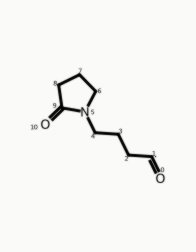 O=[C]CCCN1CCCC1=O